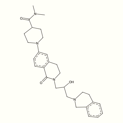 CN(C)C(=O)C1CCN(c2ccc3c(c2)CCN(CC(O)CN2CCc4ccccc4C2)C3=O)CC1